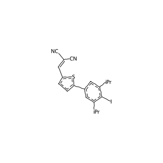 CC(C)c1cc(-c2ccc(C=C(C#N)C#N)s2)cc(C(C)C)c1I